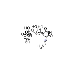 NC/C=C/c1cn([C@@H]2O[C@H](COP(=O)(O)OP(=O)(O)OPO)C(O)[C@@H]2O)c(=O)[nH]c1=O